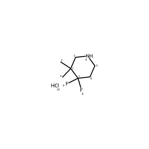 CC1(C)CNCCC1(F)F.Cl